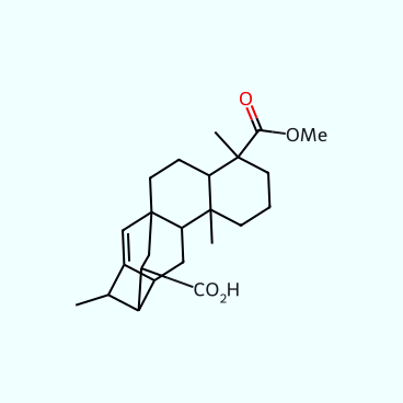 COC(=O)C1(C)CCCC2(C)C3CC4C5=CC3(CCC12)CC(C(=O)O)C4C5C